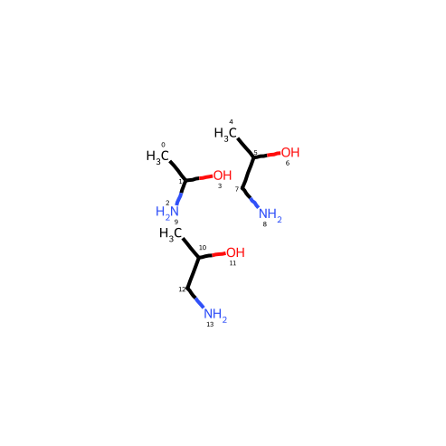 CC(N)O.CC(O)CN.CC(O)CN